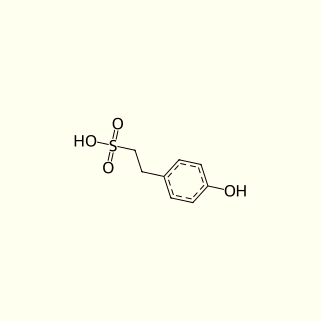 O=S(=O)(O)CCc1ccc(O)cc1